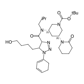 CC(C)CN(C(=O)C1N=NN(C2=CC=CCC2)C1CCCCO)[C@H]1C[C@@H](N2CCCCC2=O)CN(C(=O)OC(C)(C)C)C1